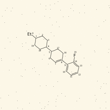 CCC1CCC(C2CC=C(c3ccccc3F)CC2)CC1